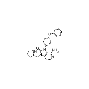 Nc1nccc2c1n(-c1ccc(Oc3ccccc3)cc1)c(=O)n2CC1CCCN1